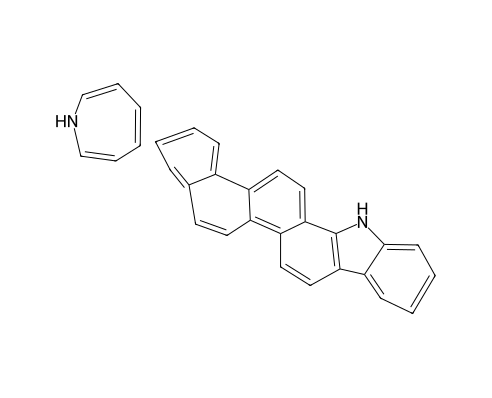 C1=CC=CNC=C1.c1ccc2c(c1)ccc1c2ccc2c1ccc1c3ccccc3[nH]c12